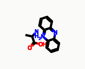 CC(N)C(=O)O.c1ccc2nc3ccccc3nc2c1